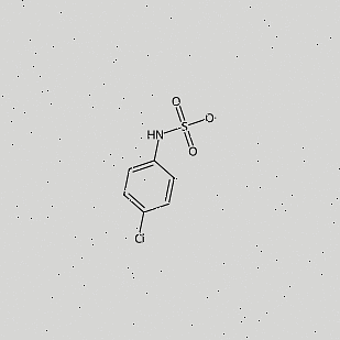 [O]S(=O)(=O)Nc1ccc(Cl)cc1